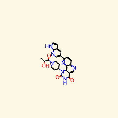 C[C@H](O)C(=O)N1CCC(n2c(=O)[nH]c(=O)c3cnc4ccc(-c5cnc6[nH]ccc6c5)nc4c32)CC1